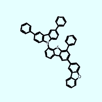 c1ccc(-c2ccc3c(c2)c2cc(-c4ccccc4)ccc2n3-c2cccc3c2sc2c(-c4ccccc4)cc(-c4ccc5oc6ccccc6c5c4)cc23)cc1